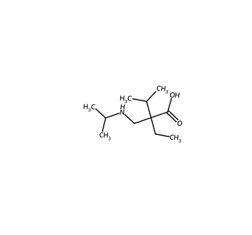 CCC(CNC(C)C)(C(=O)O)C(C)C